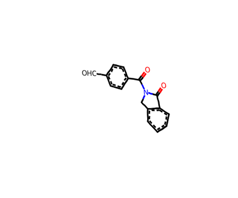 O=Cc1ccc(C(=O)N2Cc3ccccc3C2=O)cc1